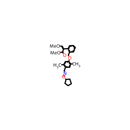 COC=C(C(=O)OC)c1ccccc1COc1cc(C)c(C=NOC2CCCC2)cc1C